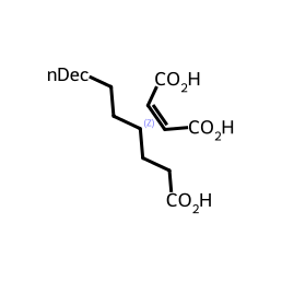 CCCCCCCCCCCCCCCC(=O)O.O=C(O)/C=C\C(=O)O